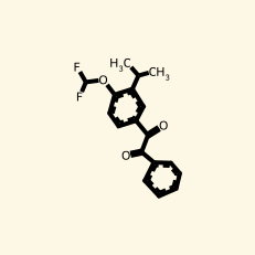 CC(C)c1cc(C(=O)C(=O)c2ccccc2)ccc1OC(F)F